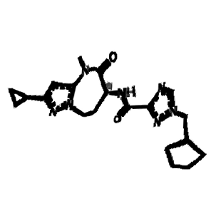 CN1C(=O)[C@@H](NC(=O)c2ncn(CC3CCCC3)n2)CCn2nc(C3CC3)cc21